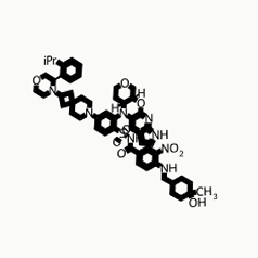 CC(C)c1ccccc1[C@@H]1COCCN1C1CC2(CCN(c3ccc(S(=O)(=O)NC(=O)c4ccc(NCC5CCC(C)(O)CC5)c([N+](=O)[O-])c4)c(N4c5cc6cc[nH]c6nc5O[C@@H]5COCC[C@H]54)c3)CC2)C1